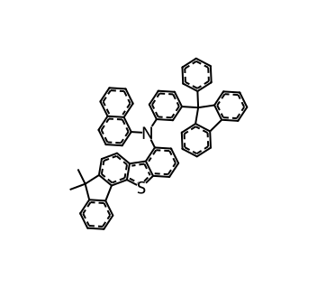 CC1(C)c2ccccc2-c2c1ccc1c2sc2cccc(N(c3cccc(C4(c5ccccc5)c5ccccc5-c5ccccc54)c3)c3cccc4ccccc34)c21